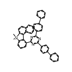 C[Si]1(C)c2cccc(-c3nc(-c4ccc(-c5ccccc5)cc4)nc(-c4ccc(-c5ccccc5)cc4)n3)c2-c2c1ccc1ccccc21